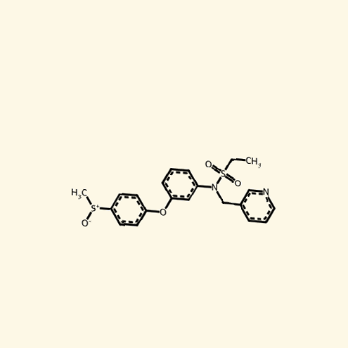 CCS(=O)(=O)N(Cc1cccnc1)c1cccc(Oc2ccc([S+](C)[O-])cc2)c1